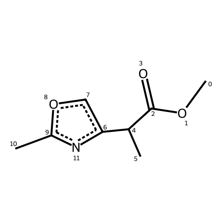 COC(=O)C(C)c1coc(C)n1